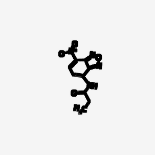 CCC(=O)Nc1ccc([N+](=O)[O-])c2nonc12